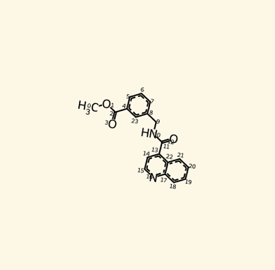 COC(=O)c1cccc(CNC(=O)c2ccnc3ccccc23)c1